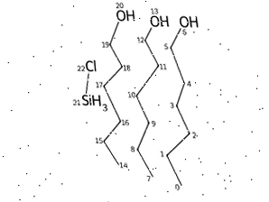 CCCCCCO.CCCCCCO.CCCCCCO.[SiH3]Cl